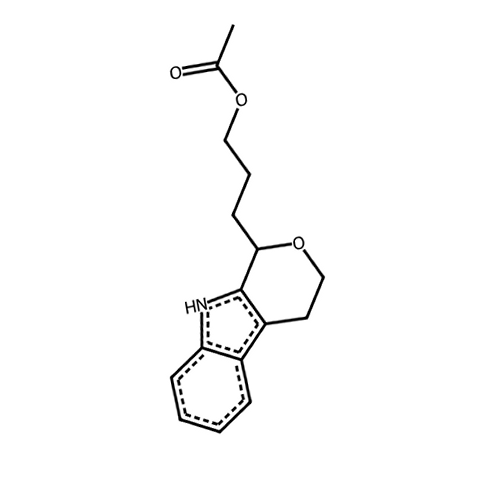 CC(=O)OCCCC1OCCc2c1[nH]c1ccccc21